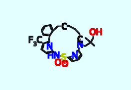 CC(C)(CO)CN1CCCCCCc2ccccc2-c2nc(ccc2C(F)(F)F)NS(=O)(=O)c2cccc1n2